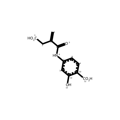 C=C(CC(=O)O)C(=O)Nc1ccc(C(=O)O)c(O)c1